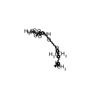 C=N/C=C\C(CCc1ccc(C(C)(C)c2ccc(OCCCCCCCCOCCCCNc3ccc4c(c3)C(=O)N(C(C=O)CCC(=O)NC)C4=O)cc2)cc1)=N/SC1CC1